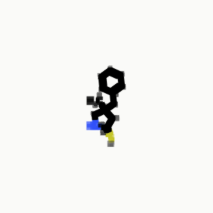 CC1(Cc2ccccc2)CNC(=S)C1